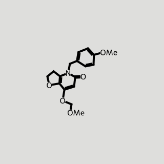 COCOc1cc(=O)n(Cc2ccc(OC)cc2)c2c1OCC2